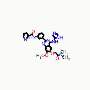 COc1cc2nc(-c3cccc(NC(=O)c4cccnc4)c3)nc(Nc3cnc[nH]3)c2cc1OCC(=O)N(C)C